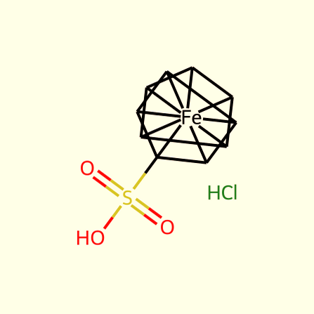 Cl.O=S(=O)(O)[C]12[CH]3[CH]4[CH]5[CH]1[Fe]45321678[CH]2[CH]1[CH]6[CH]7[CH]28